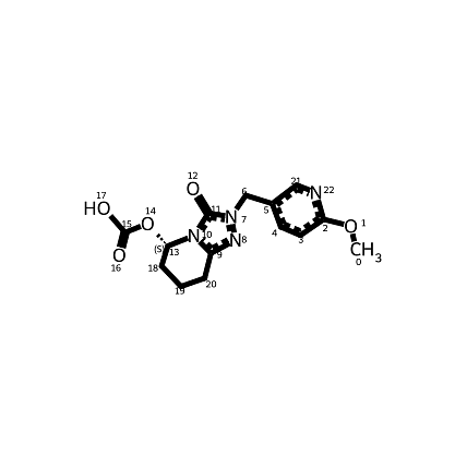 COc1ccc(Cn2nc3n(c2=O)[C@@H](OC(=O)O)CCC3)cn1